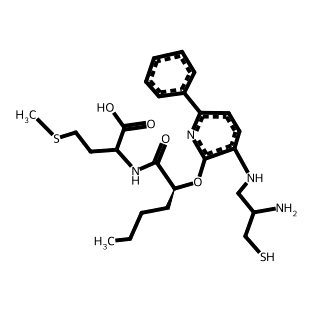 CCCC[C@H](Oc1nc(-c2ccccc2)ccc1NCC(N)CS)C(=O)NC(CCSC)C(=O)O